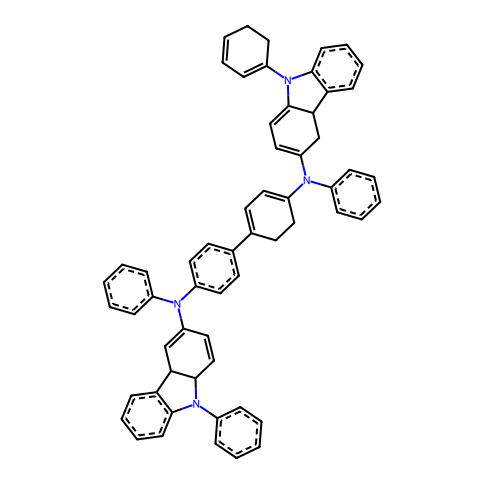 C1=CCCC(N2C3=CC=C(N(C4=CC=C(c5ccc(N(C6=CC7c8ccccc8N(c8ccccc8)C7C=C6)c6ccccc6)cc5)CC4)c4ccccc4)CC3c3ccccc32)=C1